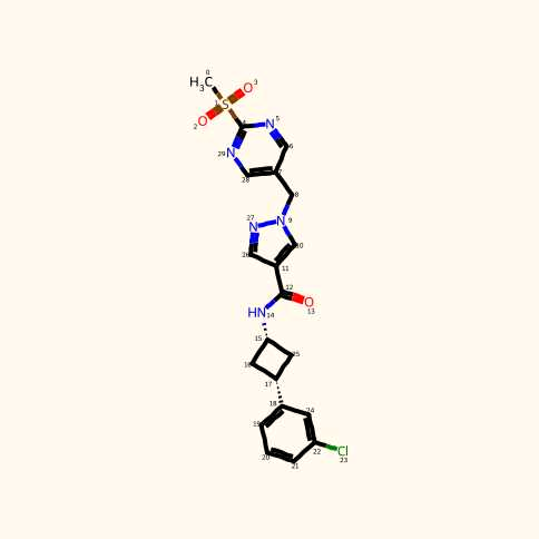 CS(=O)(=O)c1ncc(Cn2cc(C(=O)N[C@H]3C[C@@H](c4cccc(Cl)c4)C3)cn2)cn1